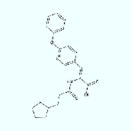 O=C(CCC1CCCC1)NC(=Cc1ccc(Oc2ccccc2)nc1)C(=O)O